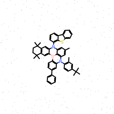 Cc1cc2c3c(c1)N(c1cccc4c1sc1ccccc14)c1cc4c(cc1B3c1ccc(-c3ccccc3)cc1N2c1ccc(C(C)(C)C)cc1C)C(C)(C)CCC4(C)C